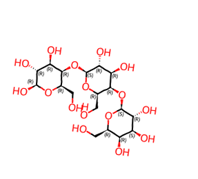 OC[C@H]1O[C@@H](O[C@@H]2[C@H](O)[C@@H](O)[C@H](O[C@@H]3[C@H](O)[C@@H](O)[C@H](O)O[C@@H]3CO)O[C@@H]2CO)[C@H](O)[C@@H](O)[C@H]1O